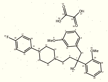 COc1cccc(CC(C#N)(CCN2CCN(c3ccc(F)cc3)CC2)c2ccccc2OC)c1.O=C(O)C(=O)O